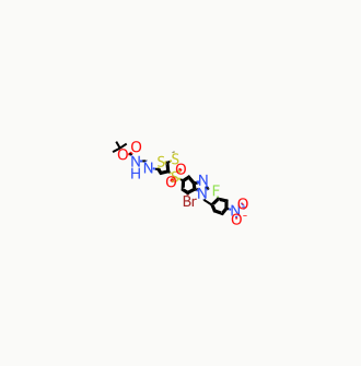 CSc1sc(/N=C/NC(=O)OC(C)(C)C)cc1S(=O)(=O)c1cc(Br)c2c(c1)ncn2Cc1ccc([N+](=O)[O-])cc1F